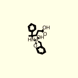 CC(CCC(=O)O)(NP(=O)(O)Cc1ccccc1)c1ccccc1